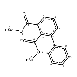 CCCCOC(=O)c1cccc(-c2ccccc2)c1C(=O)OCCCC